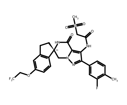 Cc1ccc(-c2nn3c(c2NC(=O)CS(C)(=O)=O)C(=O)N[C@]2(CCc4cc(OCC(F)(F)F)ccc42)C3)cc1F